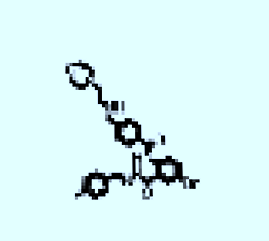 Cc1ccc(C=NNC(=O)c2cc(Br)ccc2NC(=O)c2ccc(CNCCN3CCOCC3)cc2)cc1